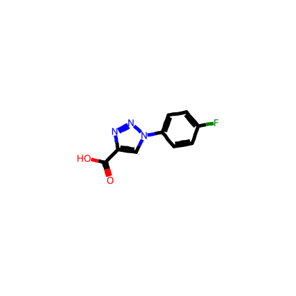 O=C(O)c1cn(-c2ccc(F)cc2)nn1